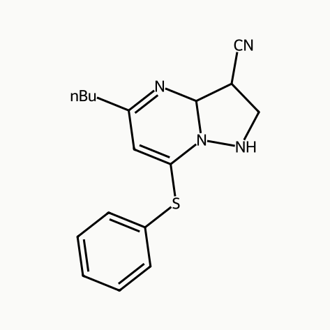 CCCCC1=NC2C(C#N)CNN2C(Sc2ccccc2)=C1